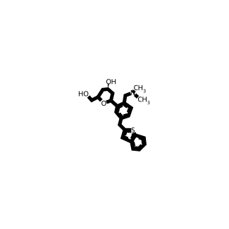 CN(C)Cc1ccc(Cc2cc3ccccc3s2)cc1C1C[C@@H](O)CC(CO)O1